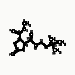 COC(=O)C1CC(=O)CN1C(=O)OCC[Si](C)(C)C